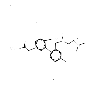 COC(=O)Cc1ccc(OC)c(-c2ccc(C)cc2CN(CCN(C)C)C(C)=O)c1